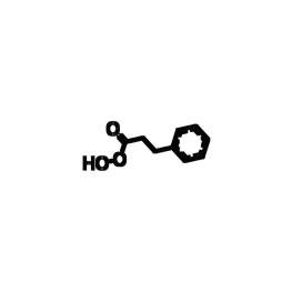 O=C(CCc1ccccc1)OO